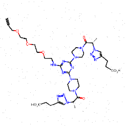 C#CCOCCOCCOCCNc1nc(N2CCN(C(=O)[C@H](C)n3cc(CCC(=O)O)nn3)CC2)nc(N2CCN(C(=O)[C@H](C)n3cc(CCC(=O)O)nn3)CC2)n1